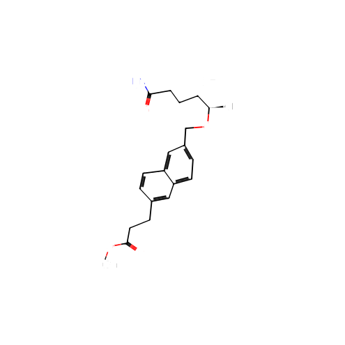 C[C@@H](CCC(N)=O)[C@@H](C)OCc1ccc2cc(CCC(=O)OC(C)(C)C)ccc2c1